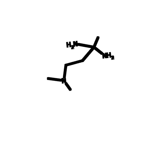 CN(C)CCC(C)(N)N